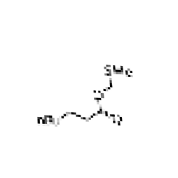 CCCCCCC(=O)OCSC